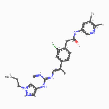 C=N/C(=N\C=C(/C)c1ccc(CC(=O)Nc2cnc(C)c(C(F)(F)F)c2)c(F)c1)Nc1cnn(CCOC)c1